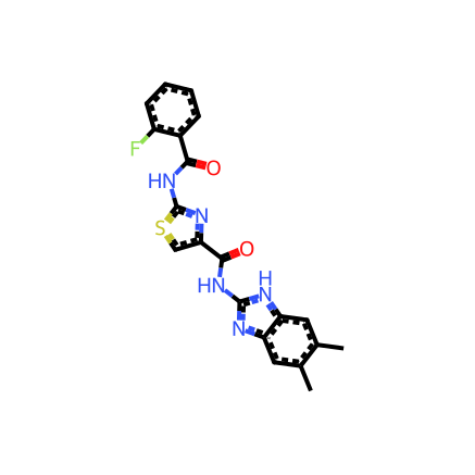 Cc1cc2nc(NC(=O)c3csc(NC(=O)c4ccccc4F)n3)[nH]c2cc1C